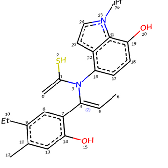 C=C(S)N(/C(=C\C)c1cc(CC)c(C)cc1O)c1ccc(O)c2c1ccn2C(C)C